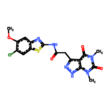 COc1cc2nc(NC(=O)Cc3n[nH]c4c3c(=O)n(C)c(=O)n4C)sc2cc1Cl